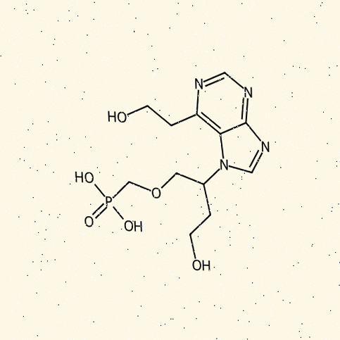 O=P(O)(O)COCC(CCO)n1cnc2ncnc(CCO)c21